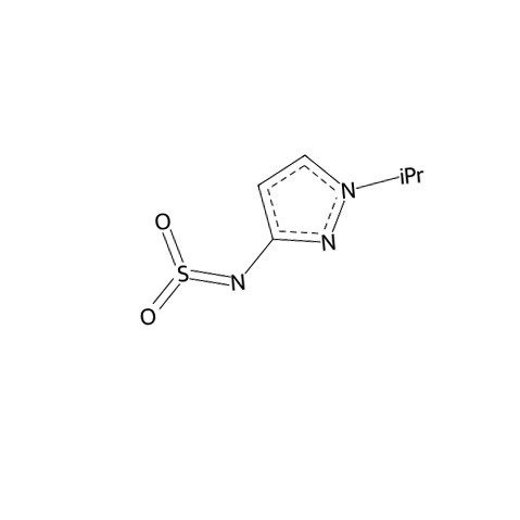 CC(C)n1ccc(N=S(=O)=O)n1